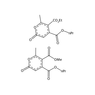 CCCOC(=O)c1cc(=O)oc(C)c1C(=O)OC.CCCOC(=O)c1cc(=O)oc(C)c1C(=O)OCC